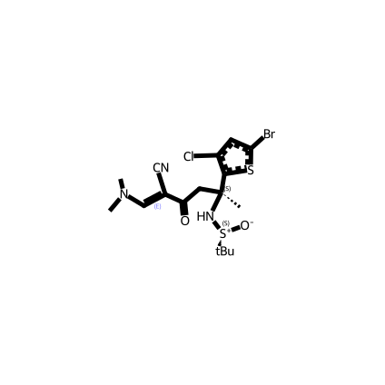 CN(C)/C=C(\C#N)C(=O)C[C@](C)(N[S@+]([O-])C(C)(C)C)c1sc(Br)cc1Cl